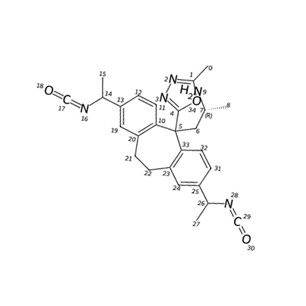 Cc1nnc(C2(C[C@@H](C)N)c3ccc(C(C)N=C=O)cc3CCc3cc(C(C)N=C=O)ccc32)o1